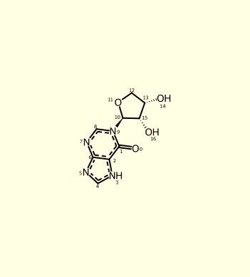 O=c1c2[nH]cnc2ncn1[C@H]1OC[C@H](O)[C@@H]1O